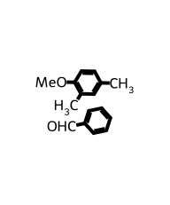 COc1ccc(C)cc1C.O=Cc1ccccc1